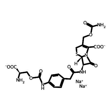 NC(=O)OCC1=C(C(=O)[O-])N2C(=O)[C@@H](NC(=O)Cc3ccc(NC(=O)OC[C@@H](N)C(=O)[O-])cc3)[C@@H]2SC1.[Na+].[Na+]